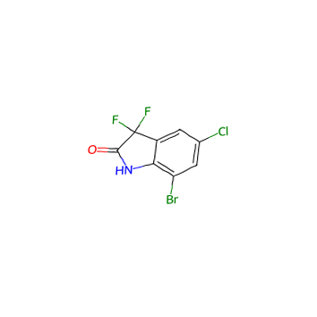 O=C1Nc2c(Br)cc(Cl)cc2C1(F)F